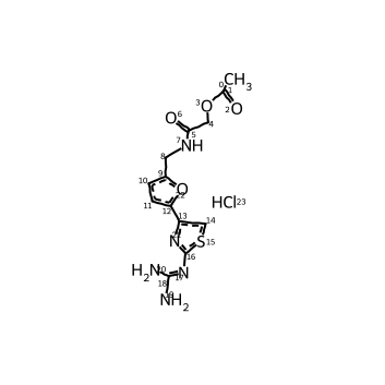 CC(=O)OCC(=O)NCc1ccc(-c2csc(N=C(N)N)n2)o1.Cl